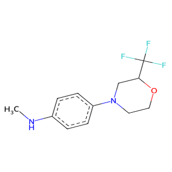 CNc1ccc(N2CCOC(C(F)(F)F)C2)cc1